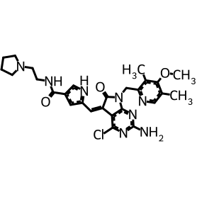 COc1c(C)cnc(CN2C(=O)C(=Cc3cc(C(=O)NCCN4CCCC4)c[nH]3)c3c(Cl)nc(N)nc32)c1C